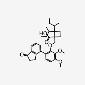 CCC(C)C1(C(C)CC)CCC1(COc1c(-c2cccc3c2CCC3=O)ccc(OC)c1OC)C(=O)O